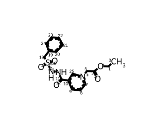 CCOC(=O)C[n+]1cccc(C(=O)NNS(=O)(=O)Cc2ccccc2)c1